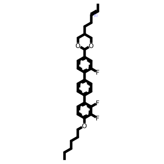 C/C=C/CCC1COC(c2ccc(-c3ccc(-c4ccc(OCCCCCC)c(F)c4F)cc3)c(F)c2)OC1